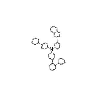 c1ccc(-c2ccc(N(c3ccc(-c4ccccc4-c4ccccc4)cc3)c3cccc(-c4ccc5ccccc5c4)c3)cc2)cc1